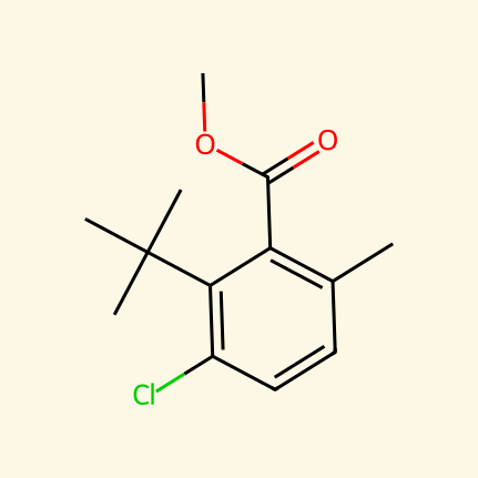 COC(=O)c1c(C)ccc(Cl)c1C(C)(C)C